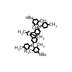 CCCCc1cc(C)c(N(c2ccc(C)cc2)c2ccc3c(c2)[C@]24CC(C)C[C@]2(CC(C)C4)c2cc(N(c4ccc(C)cc4)c4c(C)cc(CCCC)cc4C)ccc2-3)c(C)c1